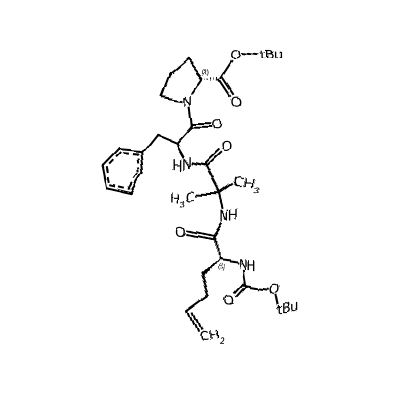 C=CCC[C@H](NC(=O)OC(C)(C)C)C(=O)NC(C)(C)C(=O)NC(Cc1ccccc1)C(=O)N1CCC[C@@H]1C(=O)OC(C)(C)C